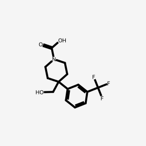 O=C(O)N1CCC(CO)(c2cccc(C(F)(F)F)c2)CC1